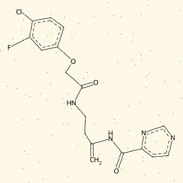 C=C(CCNC(=O)COc1ccc(Cl)c(F)c1)NC(=O)c1ccncn1